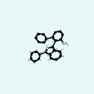 Cc1cccc(-c2ccccc2)c1-c1oc(-c2ccccc2)c2ccccc12